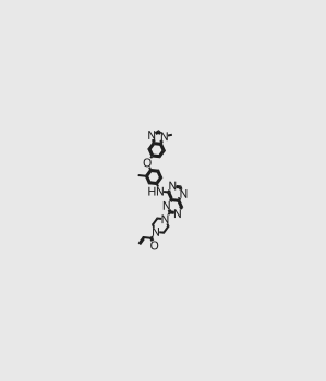 C=CC(=O)N1CCN(c2ncc3ncnc(Nc4ccc(Oc5ccc6c(c5)ncn6C)c(C)c4)c3n2)CC1